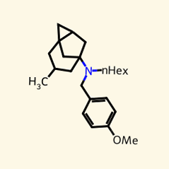 CCCCCCN(Cc1ccc(OC)cc1)C12CC(C)CC3(CC3C1)C2